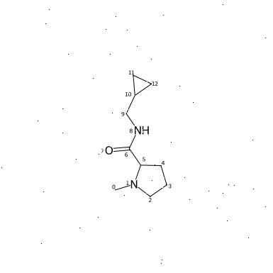 CN1CCCC1C(=O)NCC1CC1